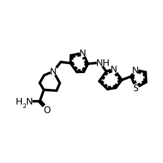 NC(=O)C1CCN(Cc2ccc(Nc3cccc(-c4nccs4)n3)nc2)CC1